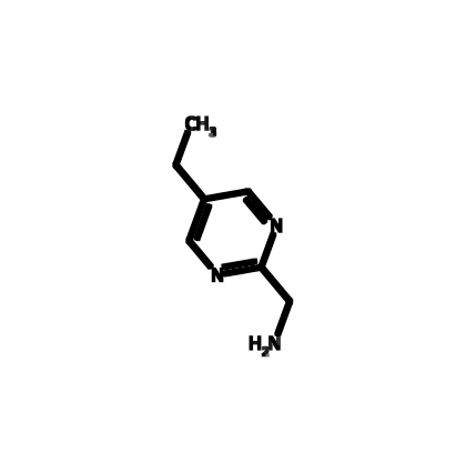 CCc1cnc(CN)nc1